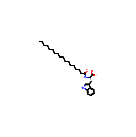 CCCCCCCC/C=C/CCCCCCCC(=O)N[C@@H](Cc1c[nH]c2ccccc12)C(=O)O